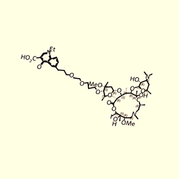 CCn1cc(C(=O)O)c(=O)c2cc(CCCOCCOCCCO[C@H]3[C@H](C)O[C@@H](O[C@H]4[C@H](C)[C@@H](O[C@@H]5O[C@H](C)C[C@H](N(C)C)[C@H]5O)[C@](C)(O)C[C@@H](C)CN(C)[C@H](C)[C@@H](OC)[C@](C)(O)[C@@H](I)OC(=O)[C@@H]4C)C[C@@]3(C)OC)ccc21